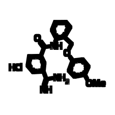 COc1ccc(OCc2ccccc2NC(=O)c2cccc(C(=N)N)c2)cc1.Cl